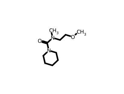 COCCN(C)C(=O)N1CCCCC1